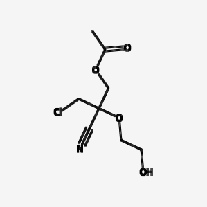 CC(=O)OCC(C#N)(CCl)OCCO